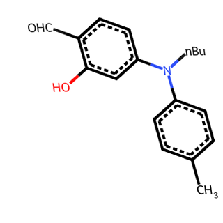 CCCCN(c1ccc(C)cc1)c1ccc(C=O)c(O)c1